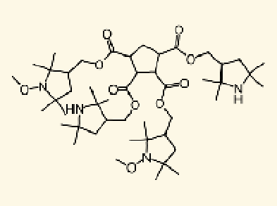 CON1C(C)(C)CC(COC(=O)C2CC(C(=O)OCC3CC(C)(C)NC3(C)C)C(C(=O)OCC3CC(C)(C)N(OC)C3(C)C)C2C(=O)OCC2CC(C)(C)NC2(C)C)C1(C)C